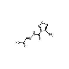 Nc1nonc1C(=O)N/N=C/C(=O)O